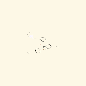 COc1ccc(-c2sc3cc(OC)ccc3c2C(=O)c2ccccc2SCCN2CCCCC2)cc1